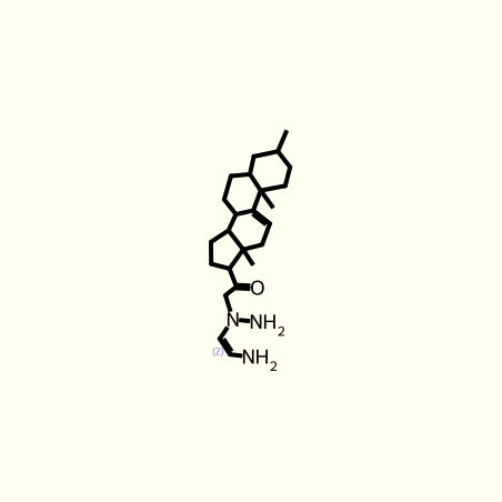 CC1CCC2(C)C3=CCC4(C)C(C(=O)CN(N)/C=C\N)CCC4C3CCC2C1